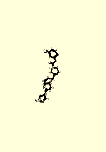 O=C(Cc1cccc(Cl)c1)N1CCCC(Cn2ccc3nc(-c4cn[nH]c4)ccc32)CC1